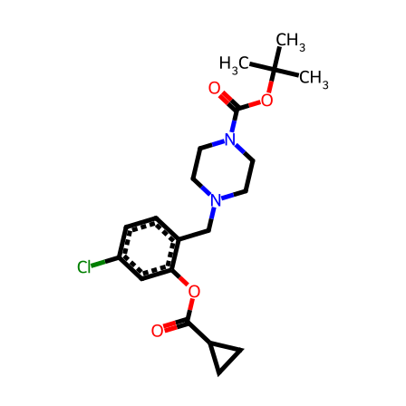 CC(C)(C)OC(=O)N1CCN(Cc2ccc(Cl)cc2OC(=O)C2CC2)CC1